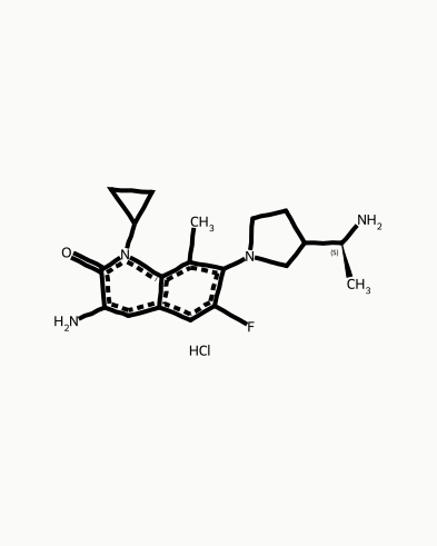 Cc1c(N2CCC([C@H](C)N)C2)c(F)cc2cc(N)c(=O)n(C3CC3)c12.Cl